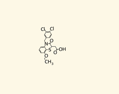 CCOc1cccc2c1SC(CC(=O)O)C(=O)N2Cc1ccc(Cl)c(Cl)c1